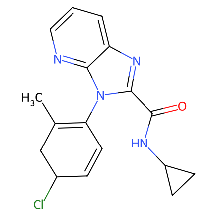 CC1=C(n2c(C(=O)NC3CC3)nc3cccnc32)C=CC(Cl)C1